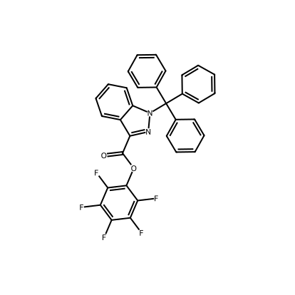 O=C(Oc1c(F)c(F)c(F)c(F)c1F)c1nn(C(c2ccccc2)(c2ccccc2)c2ccccc2)c2ccccc12